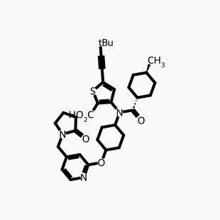 CC(C)(C)C#Cc1cc(N(C(=O)[C@H]2CC[C@H](C)CC2)C2CCC(Oc3cc(CN4CCCC4=O)ccn3)CC2)c(C(=O)O)s1